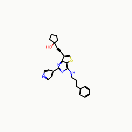 OC1(C#Cc2csc3c(NCCCc4ccccc4)nc(-c4ccncc4)nc23)CCCC1